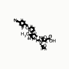 C[C@H]1[C@H]2CN(Cc3nc4oc(C(=O)O)cc4n3C[C@@H]3CCO3)CC[C@]21c1cccc(OCc2ccc(C#N)cc2F)n1